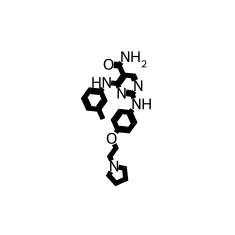 Cc1cccc(Nc2nc(Nc3ccc(OCCN4CCCC4)cc3)ncc2C(N)=O)c1